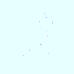 CC(C)(C)c1ccc(OC2CCNCC2)c(C(F)(F)F)c1